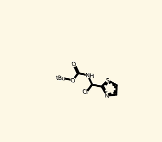 CC(C)(C)OC(=O)NC(Cl)c1nccs1